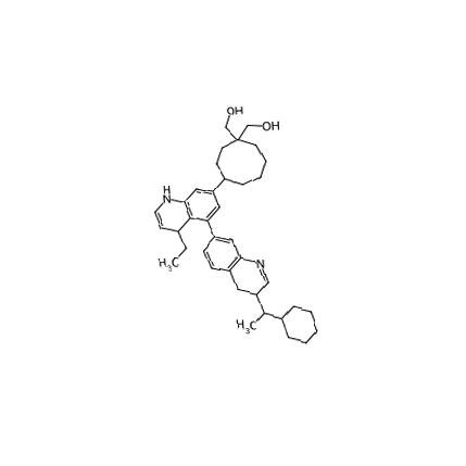 CCC1C=CNc2cc(C3CCCCC(CO)(CO)CC3)cc(-c3ccc4c(c3)N=CC(C(C)C3CCCCC3)C4)c21